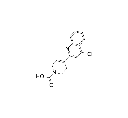 O=C(O)N1CC=C(c2cc(Cl)c3ccccc3n2)CC1